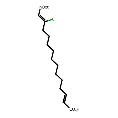 CCCCCCCCC=C(Cl)CCCCCCCCC/C=C/C(=O)O